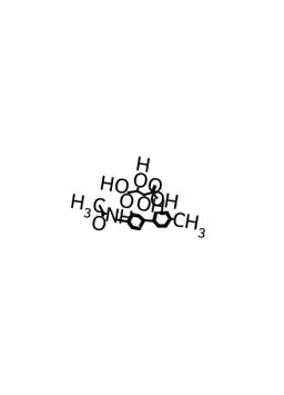 CC(=O)NCc1ccc(-c2ccc(C)cc2)cc1.O=C(O)C(O)C(O)C(=O)O